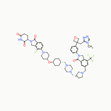 Cn1cnnc1CC1(c2cccc(N3Cc4c(cc(CN5CC[C@H](CN6CCN(C[C@H]7CC[C@H](OC8CCN(c9ccc%10c(c9F)CN(C9CCC(=O)NC9=O)C%10=O)CC8)CC7)CC6)C5)cc4C(F)(F)F)C3=O)c2)COC1